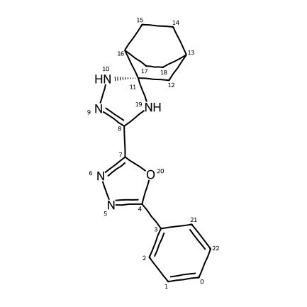 c1ccc(-c2nnc(C3=NN[C@]4(CC5CCC4CC5)N3)o2)cc1